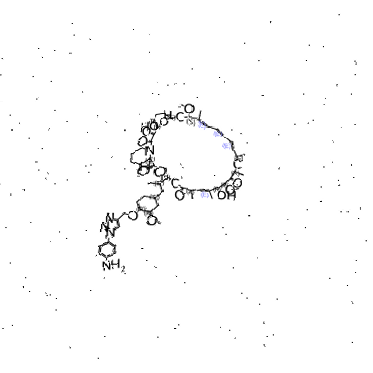 CO[C@H]1C[C@@H]2CC[C@@H](C)[C@@](O)(O2)C(=O)C(=O)N2CCCC[C@H]2C(=O)O[C@H]([C@H](C)C[C@@H]2CC[C@@H](OCc3cn(-c4ccc(N)cc4)nn3)[C@H](OC)C2)CC(=O)[C@H](C)/C=C(\C)[C@@H](O)[C@@H](OC)C(=O)[C@H](C)C[C@H](C)/C=C/C=C/C=C/1C